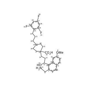 COc1ccc2ncc(CN)c(C(O)CCC3(C(=O)O)CCN(CCCc4c(F)cc(F)cc4F)CC3)c2c1